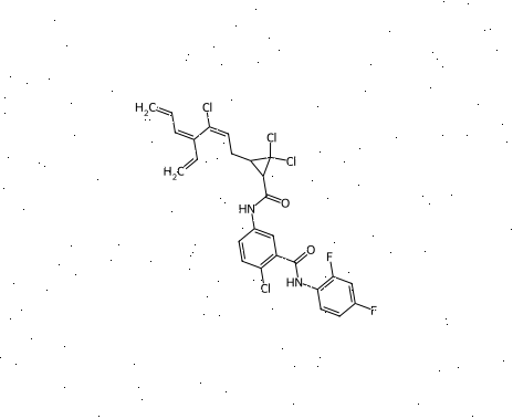 C=C/C=C(C=C)\C(Cl)=C/CC1C(C(=O)Nc2ccc(Cl)c(C(=O)Nc3ccc(F)cc3F)c2)C1(Cl)Cl